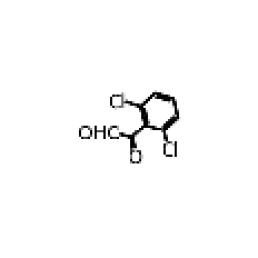 O=CC(=O)c1c(Cl)cccc1Cl